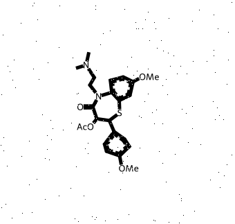 COc1ccc(C2Sc3cc(OC)ccc3N(CCN(C)C)C(=O)C2OC(C)=O)cc1